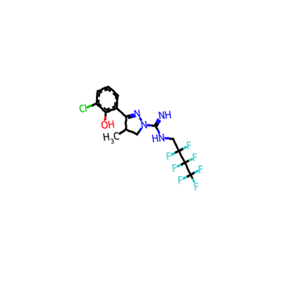 CC1CN(C(=N)NCC(F)(F)C(F)(F)C(F)(F)F)N=C1c1cccc(Cl)c1O